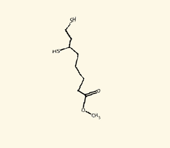 COC(=O)CCCCC(S)CCS